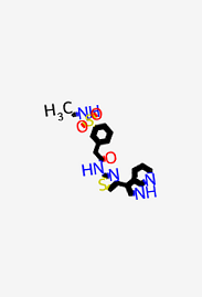 CCNS(=O)(=O)c1cccc(CC(=O)Nc2nc(-c3c[nH]c4ncccc34)cs2)c1